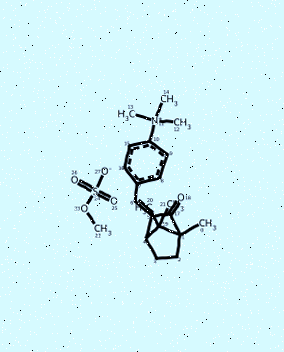 CC12CCC(/C(=C/c3ccc([N+](C)(C)C)cc3)C1=O)C2(C)C.COS(=O)(=O)[O-]